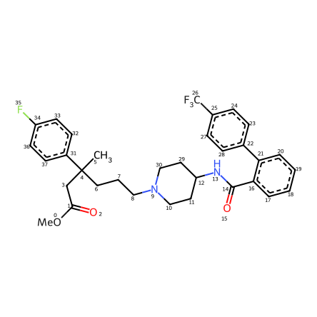 COC(=O)CC(C)(CCCN1CCC(NC(=O)c2ccccc2-c2ccc(C(F)(F)F)cc2)CC1)c1ccc(F)cc1